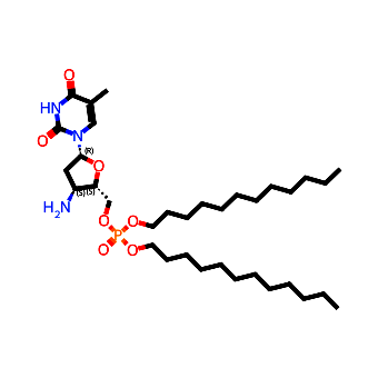 CCCCCCCCCCCCOP(=O)(OCCCCCCCCCCCC)OC[C@H]1O[C@@H](n2cc(C)c(=O)[nH]c2=O)C[C@@H]1N